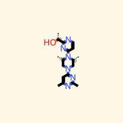 Cc1cc(N2C[C@@H](C)N(c3ccnc([C@@H](C)O)n3)[C@@H](C)C2)nc(C)n1